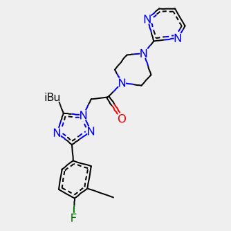 CCC(C)c1nc(-c2ccc(F)c(C)c2)nn1CC(=O)N1CCN(c2ncccn2)CC1